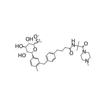 Cc1ccc([C@@H]2O[C@H]([S+](C)[O-])[C@@H](O)[C@H](O)[C@H]2O)cc1Cc1ccc(CCCC(=O)NC(C)(C)C(=O)N2CCN(C)CC2)cc1